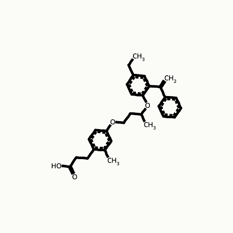 C=C(c1ccccc1)c1cc(CC)ccc1OC(C)CCOc1ccc(CCC(=O)O)c(C)c1